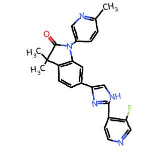 Cc1ccc(N2C(=O)C(C)(C)c3ccc(-c4c[nH]c(-c5ccncc5F)n4)cc32)cn1